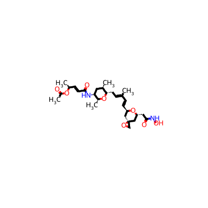 CC(=O)O[C@@H](C)C=CC(=O)N[C@@H]1C[C@H](C)[C@H](CC=C(C)C=C[C@@H]2C[C@@]3(CO3)C[C@@H](CC(=O)NO)O2)O[C@@H]1C